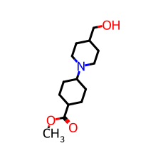 COC(=O)C1CCC(N2CCC(CO)CC2)CC1